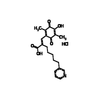 CC1=C(O)C(=O)C(C)=C(C=C(CCCCCc2cccnc2)C(=O)O)C1=O.Cl